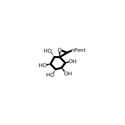 CCCCCC1O[C@@]12[C@@H](O)[C@H](O)[C@@H](O)[C@H](O)[C@@H]2O